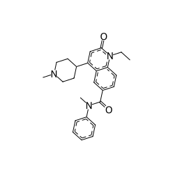 CCn1c(=O)cc(C2CCN(C)CC2)c2cc(C(=O)N(C)c3ccccc3)ccc21